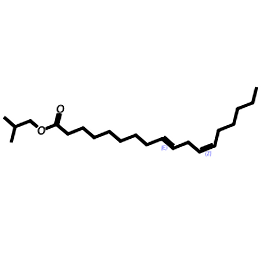 CCCCC/C=C\C/C=C/CCCCCCCC(=O)OCC(C)C